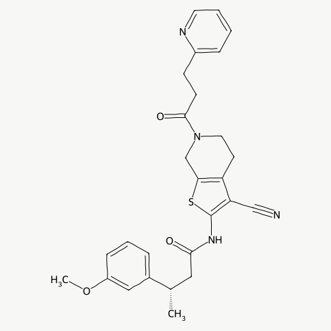 COc1cccc([C@@H](C)CC(=O)Nc2sc3c(c2C#N)CCN(C(=O)CCc2ccccn2)C3)c1